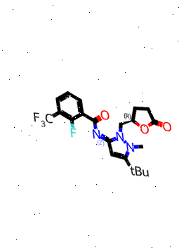 Cn1c(C(C)(C)C)c/c(=N/C(=O)c2cccc(C(F)(F)F)c2F)n1C[C@H]1CCC(=O)O1